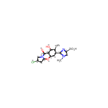 CCCc1c(-c2nc(S(=O)(=O)O)cn2C)cc2oc3cc(Cl)cn3c(=O)c2c1O